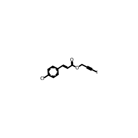 O=C(/C=C/c1ccc(Cl)cc1)OCC#CI